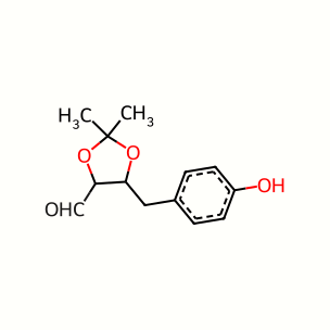 CC1(C)OC(C=O)C(Cc2ccc(O)cc2)O1